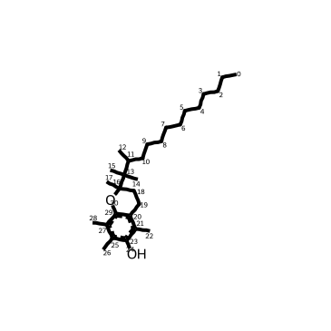 CCCCCCCCCCCC(C)C(C)(C)C1(C)CCc2c(C)c(O)c(C)c(C)c2O1